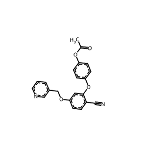 CC(=O)Oc1ccc(Oc2cc(OCc3cccnc3)ccc2C#N)cc1